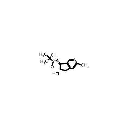 Cc1cc2c(cn1)C(=N[S+]([O-])C(C)(C)C)CC2.Cl